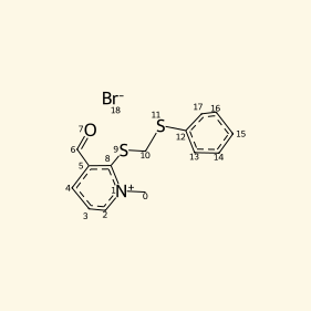 C[n+]1cccc(C=O)c1SCSc1ccccc1.[Br-]